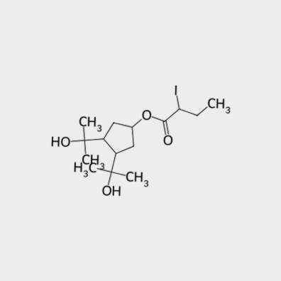 CCC(I)C(=O)OC1CC(C(C)(C)O)C(C(C)(C)O)C1